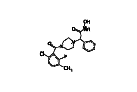 Cc1ccc(Cl)c(C(=O)N2CCN(C(C(=O)NO)c3ccccc3)CC2)c1F